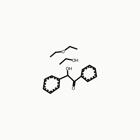 CCO.CCOCC.O=C(c1ccccc1)C(O)c1ccccc1